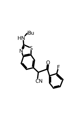 CCC(C)Nc1nc2ccc(C(C#N)C(=O)c3ccccc3F)cc2s1